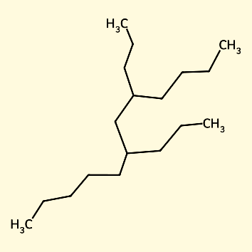 CCCCCC(CCC)CC(CCC)CCCC